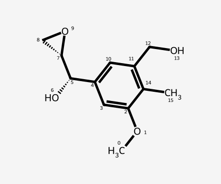 COc1cc([C@H](O)[C@@H]2CO2)cc(CO)c1C